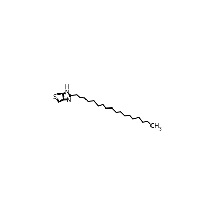 CCCCCCCCCCCCCCCCCCc1nc2cscc2[nH]1